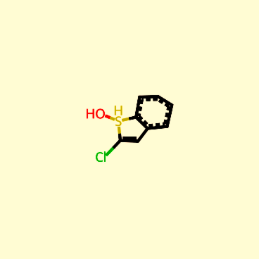 O[SH]1C(Cl)=Cc2ccccc21